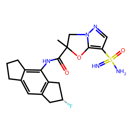 CC1(C(=O)Nc2c3c(cc4c2C[C@H](F)C4)CCC3)Cn2ncc(S(=N)(N)=O)c2O1